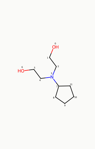 OCCN(CCO)C1CCCC1